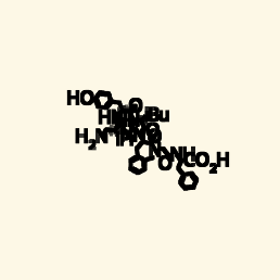 CCC(C)[C@H](NC(=O)[C@H](Cc1ccc(O)cc1)NC(=O)[C@@H](CN)C(C)C)C(=O)NC1Cc2ccccc2CN(CC(=O)NC(Cc2ccccc2)C(=O)O)C1=O